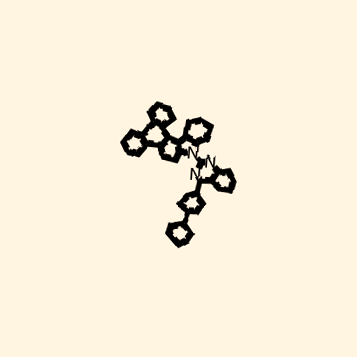 c1ccc(-c2ccc(-c3nc(-n4c5ccccc5c5c6c7ccccc7c7ccccc7c6ccc54)nc4ccccc34)cc2)cc1